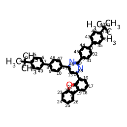 CC(C)(C)c1ccc(-c2ccc(-c3cc(-c4cccc5c4oc4ccccc45)nc(-c4ccc(-c5ccc(C(C)(C)C)cc5)cc4)n3)cc2)cc1